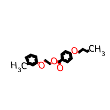 CCCCOc1ccc(C(=O)OCCOc2cccc(C)c2)cc1